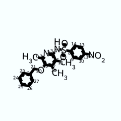 Cc1nc(NS(=O)(=O)c2ccc([N+](=O)[O-])cc2)c(C)c(C)c1OCc1ccccc1